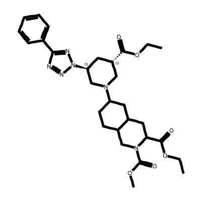 CCOC(=O)C1CC2CC(N3C[C@@H](C(=O)OCC)C[C@H](n4nnc(-c5ccccc5)n4)C3)CCC2CN1C(=O)OC